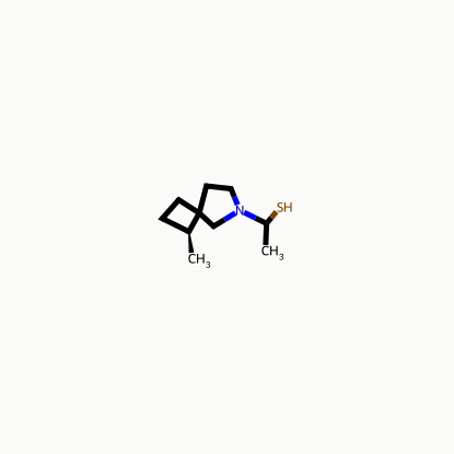 CC(S)N1CCC2(CC[C@@H]2C)C1